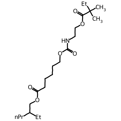 CCCC(CC)COC(=O)CCCCCOC(=O)NCCOC(=O)C(C)(C)CC